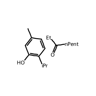 CCCCCC(=O)CC.Cc1ccc(C(C)C)c(O)c1